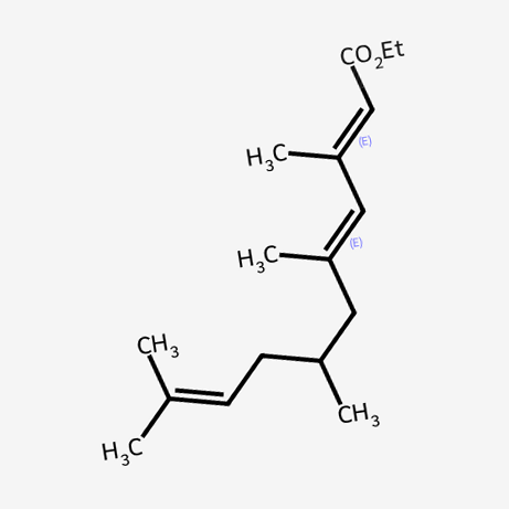 CCOC(=O)/C=C(C)/C=C(\C)CC(C)CC=C(C)C